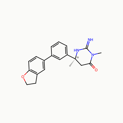 CN1C(=N)N[C@](C)(c2cccc(-c3ccc4c(c3)CCO4)c2)CC1=O